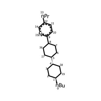 CCCC[C@H]1CC[C@H](C2CCC(c3ccc(CCC)cn3)CC2)CC1